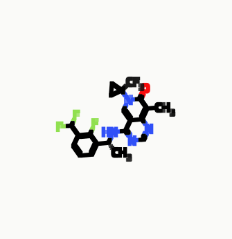 Cc1c(=O)n(C2(C(F)(F)F)CC2)cc2c(N[C@H](C)c3cccc(C(F)F)c3F)ncnc12